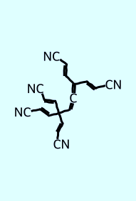 N#CC=CC(=C=CC(C=CC#N)(C=CC#N)C=CC#N)C=CC#N